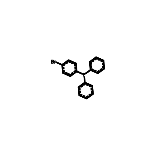 Brc1ccc(P(c2ccccc2)c2ccccc2)cc1